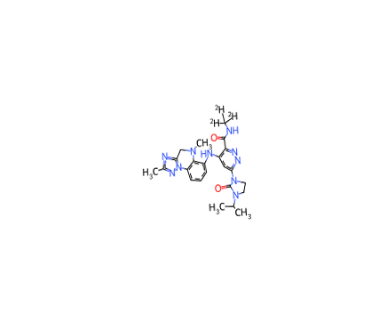 [2H]C([2H])([2H])NC(=O)c1nnc(N2CCN(C(C)C)C2=O)cc1Nc1cccc2c1N(C)Cc1nc(C)nn1-2